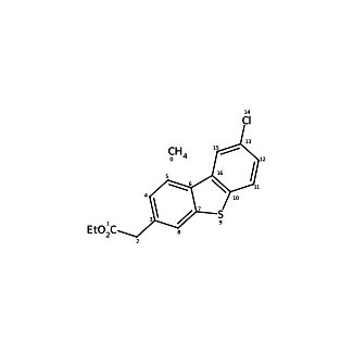 C.CCOC(=O)Cc1ccc2c(c1)sc1ccc(Cl)cc12